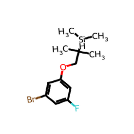 C[SiH](C)C(C)(C)COc1cc(F)cc(Br)c1